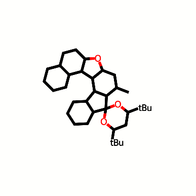 CC1CC2OC3CCC4CCCCC4C3C2C2C3CCCCC3C3(OC(C(C)(C)C)CC(C(C)(C)C)O3)C12